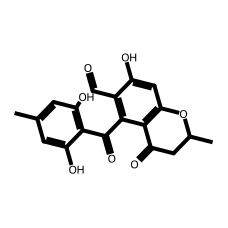 Cc1cc(O)c(C(=O)c2c(C=O)c(O)cc3c2C(=O)CC(C)O3)c(O)c1